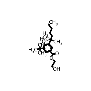 CCCCCC(C)(C)c1cc(C(=O)OCCO)cc(C(C)(C)C)c1OC